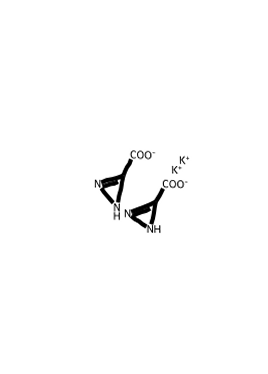 O=C([O-])C1=NN1.O=C([O-])C1=NN1.[K+].[K+]